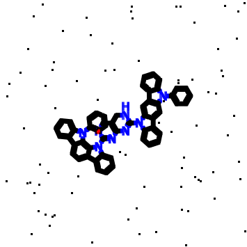 c1ccc(-n2c3ccccc3c3cc4c(cc32)c2ccccc2n4C2=Nc3nc(-n4c5ccccc5c5ccc6c7ccccc7n(-c7ccccc7)c6c54)ncc3CN2)cc1